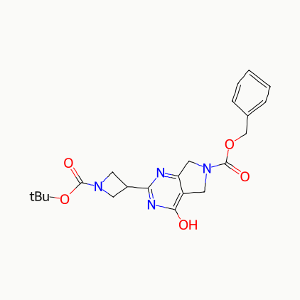 CC(C)(C)OC(=O)N1CC(c2nc(O)c3c(n2)CN(C(=O)OCc2ccccc2)C3)C1